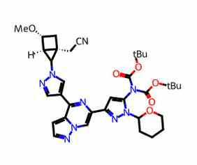 CO[C@@H]1C[C@@]2(CC#N)C(n3cc(-c4nc(-c5cc(N(C(=O)OC(C)(C)C)C(=O)OC(C)(C)C)n(C6CCCCO6)n5)cn5nccc45)cn3)[C@@H]12